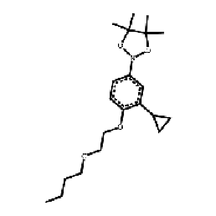 CCCCOCCOc1ccc(N2OC(C)(C)C(C)(C)O2)cc1C1CC1